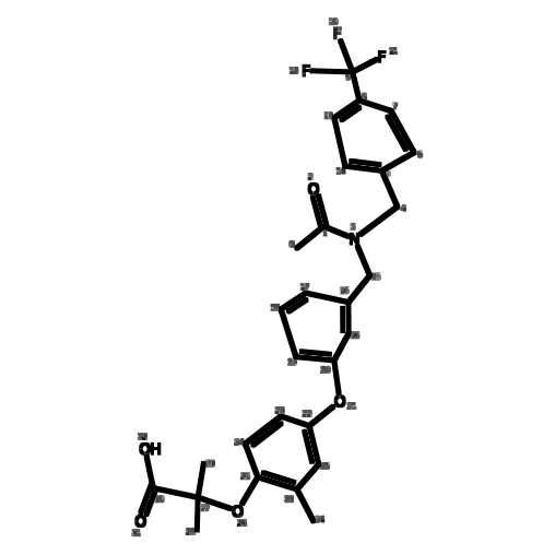 CC(=O)N(Cc1ccc(C(F)(F)F)cc1)Cc1cccc(Oc2ccc(OC(C)(C)C(=O)O)c(C)c2)c1